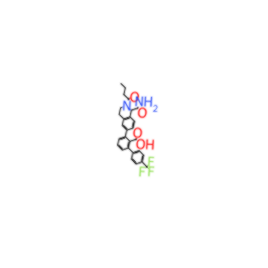 CCCC(=O)N1CCc2cc(-c3cccc(-c4ccc(C(F)(F)F)cc4)c3C(=O)O)ccc2C1C(N)=O